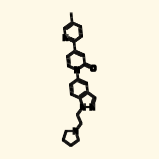 Cc1ccc(-c2ccn(-c3ccc4c(cnn4CCN4CCCC4)c3)c(=O)c2)nc1